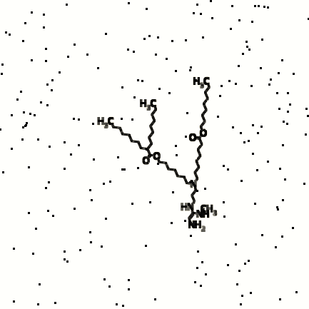 CCCCCCCCCOC(=O)CCCCCCCN(CCCCCCCOC(=O)C(CCCCCCCC)CCCCCCCC)CCCN/C(=C/N)NC